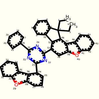 CCC1(CC)c2ccccc2-c2c(-c3nc(-c4ccccc4)nc(-c4cccc5oc6ccccc6c45)n3)cc3oc4ccccc4c3c21